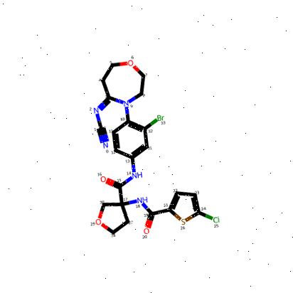 N#CN=C1CCOCCN1c1ccc(NC(=O)C2(NC(=O)c3ccc(Cl)s3)CCOC2)cc1Br